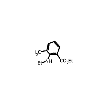 CCNc1c(C)cccc1C(=O)OCC